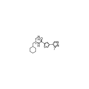 Cn1nncc1-c1csc(C(=O)N[C@H](CN)CC2CCCCC2)c1